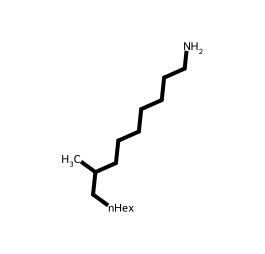 CCCCCCCC(C)CCCCCCCN